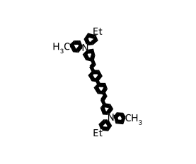 CCc1ccc(N(c2ccc(C)cc2)c2ccc(/C=C/c3ccc(-c4ccc(/C=C/c5ccc(N(c6ccc(C)cc6)c6ccc(CC)cc6)cc5)cc4)cc3)cc2)cc1